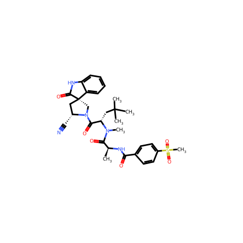 C[C@H](NC(=O)c1ccc(S(C)(=O)=O)cc1)C(=O)N(C)[C@@H](CC(C)(C)C)C(=O)N1C[C@]2(C[C@H]1C#N)C(=O)Nc1ccccc12